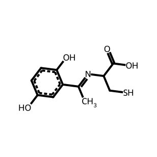 CC(=NC(CS)C(=O)O)c1cc(O)ccc1O